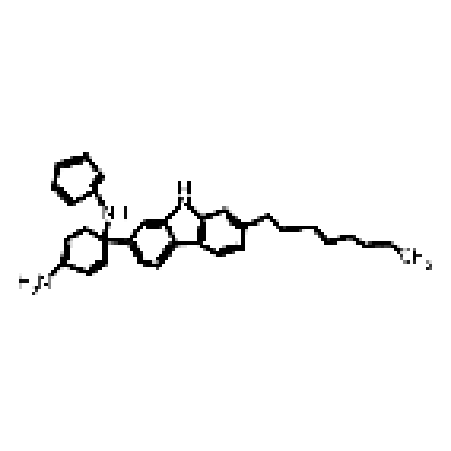 CCCCCCCCc1ccc2c(c1)[nH]c1cc(C3(Nc4ccccc4)C=CC(N)=CC3)ccc12